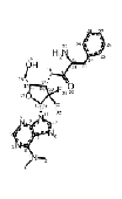 CN(C)c1ncnc2c1ncn2[C@@H]1O[C@H](CO)[C@H](CC(=O)[C@@H](N)Cc2ccccc2)C1(F)F